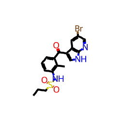 CCCS(=O)(=O)Nc1cccc(C(=O)c2c[nH]c3ncc(Br)cc23)c1C